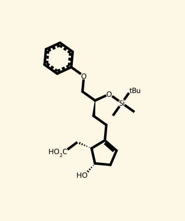 CC(C)(C)[Si](C)(C)O[C@@H](CCC1=CC[C@H](O)[C@@H]1CC(=O)O)COc1ccccc1